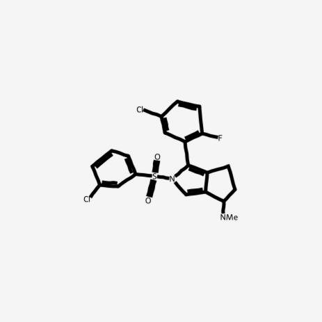 CNC1CCc2c1cn(S(=O)(=O)c1cccc(Cl)c1)c2-c1cc(Cl)ccc1F